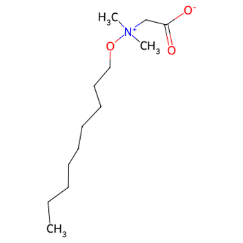 CCCCCCCCCO[N+](C)(C)CC(=O)[O-]